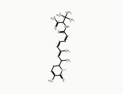 CC1=CCC(C(C)/C=C(C)/C=C\C=C/C(=O)NC(C(N)=O)C(C)(C)C)OC1=O